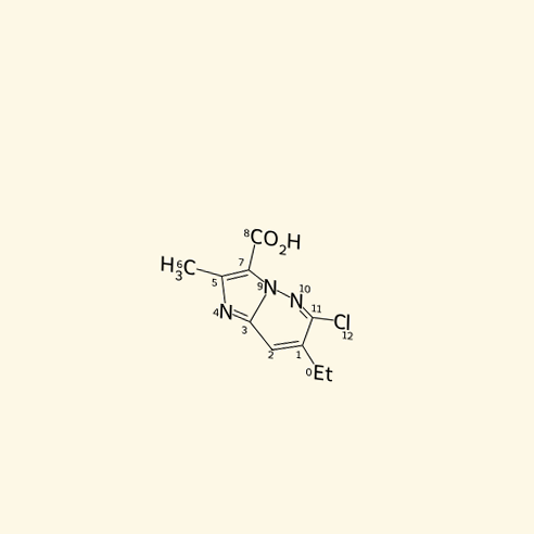 CCc1cc2nc(C)c(C(=O)O)n2nc1Cl